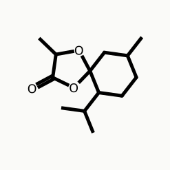 CC1CCC(C(C)C)C2(C1)OC(=O)C(C)O2